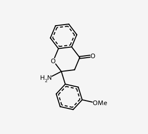 COc1cccc(C2(N)CC(=O)c3ccccc3O2)c1